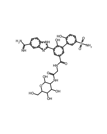 N=C(N)c1ccc2[nH]c(-c3cc(C(=O)NCC(=O)NC4C(O)OC(CO)C(O)C4O)cc(-c4cc(S(N)(=O)=O)ccc4O)c3O)nc2c1